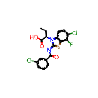 CCC(C(=O)O)n1c(=NC(=O)c2cccc(Cl)c2)sc2c(F)c(Cl)ccc21